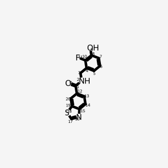 O=C(NCc1cccc(O)c1F)c1ccc2ncsc2c1